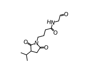 CC(C)C1CC(=O)N(CCCC(=O)NCC=O)C1=O